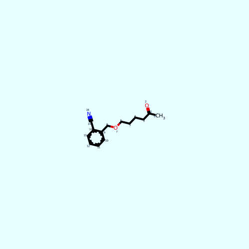 CC(=O)CCCCOCc1ccccc1C#N